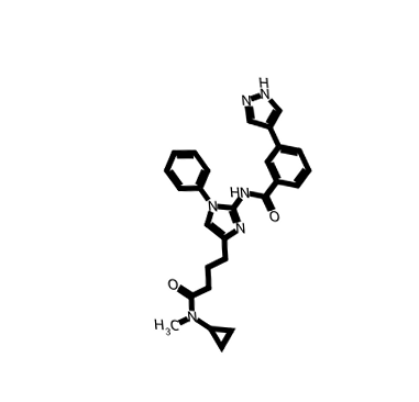 CN(C(=O)CCCc1cn(-c2ccccc2)c(NC(=O)c2cccc(-c3cn[nH]c3)c2)n1)C1CC1